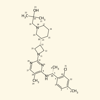 Cc1ccc([C@@H](C)Nc2nc(N3CC([C@H]4CCCN(CC(C)(C)O)C4)C3)ncc2C)c(Cl)c1